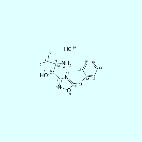 CC(C)[C@H](N)C(O)c1noc(Cc2ccccc2)n1.Cl